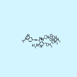 C=Cc1cnc(N)c2c(C#Cc3ccc4c(c3)ncn4C3CC3)nn(C3CCN(C(=O)OC(C)(C)C)C3)c12